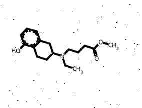 CCN(CCCC(=O)OC)C1CCc2c(O)cccc2C1